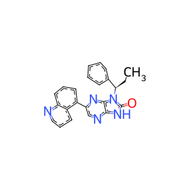 CC[C@H](c1ccccc1)n1c(=O)[nH]c2ncc(-c3cccc4ncccc34)nc21